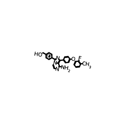 Cc1cccc(Oc2ccc(-c3nc(C45CCC(CO)(CC4)OC5)n4ccnc(N)c34)cc2)c1F